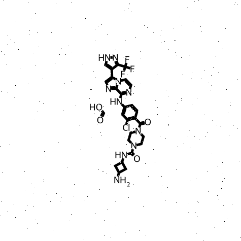 NC1CC(NC(=O)N2CCN(C(=O)c3ccc(Nc4nccn5c(-c6c[nH]nc6C(F)(F)F)cnc45)cc3Cl)CC2)C1.O=CO